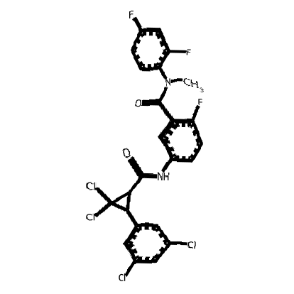 CN(C(=O)c1cc(NC(=O)C2C(c3cc(Cl)cc(Cl)c3)C2(Cl)Cl)ccc1F)c1ccc(F)cc1F